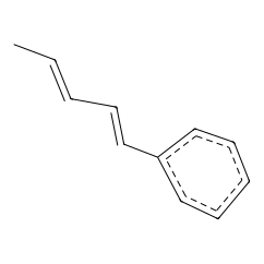 CC=CC=Cc1ccccc1